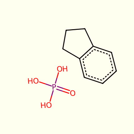 O=P(O)(O)O.c1ccc2c(c1)CCC2